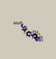 COCCn1cc(OC2CCN(c3nc4c(cc3C)C(=O)NC4)CC2)cn1